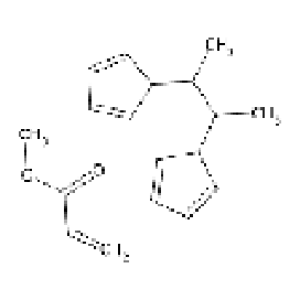 C=CC(=O)OC.CC(C1C=CC=C1)C(C)C1C=CC=C1